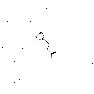 NC(=O)CCc1n[c]c[nH]1